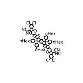 [C-]#[N+]/C(C#N)=C1\C(=C\c2cc3sc4c(c3s2)C(c2ccc(CCCCCC)cc2)(c2ccc(CCCCCC)cc2)c2cc3c(cc2-4)C(c2ccc(CCCCCC)cc2)(c2ccc(CCCCCC)cc2)c2c-3sc3cc(/C=C4\C(=O)c5cc(Cl)c(Cl)cc5\C4=C(\C#N)[N+]#[C-])sc23)C(=O)c2cc(Cl)c(Cl)cc21